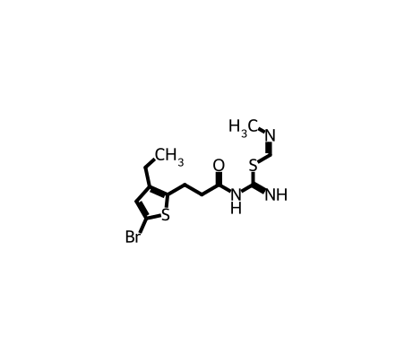 CCc1cc(Br)sc1CCC(=O)NC(=N)S/C=N\C